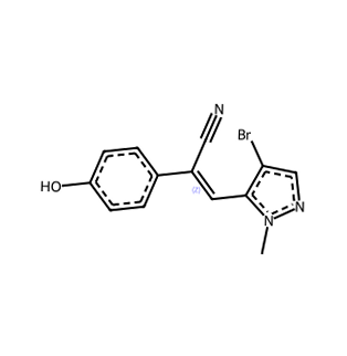 Cn1ncc(Br)c1/C=C(\C#N)c1ccc(O)cc1